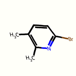 Cc1ccc(Br)nc1C